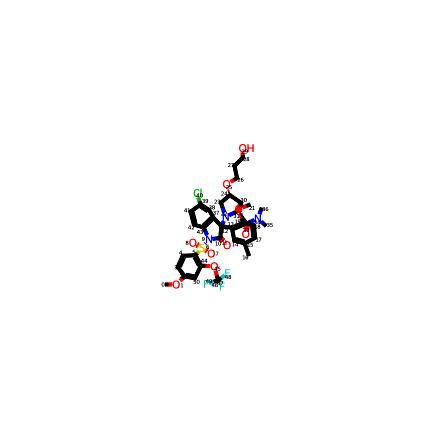 COc1ccc(S(=O)(=O)N2C(=O)C(c3cc(C)ccc3OC)(N3C[C@H](OCCCO)C[C@H]3C(=O)N(C)C)c3cc(Cl)ccc32)c(OC(F)(F)F)c1